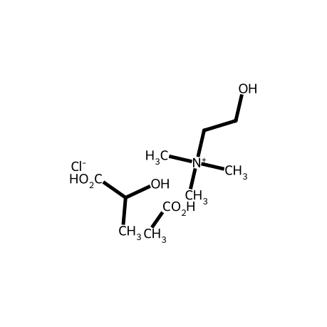 CC(=O)O.CC(O)C(=O)O.C[N+](C)(C)CCO.[Cl-]